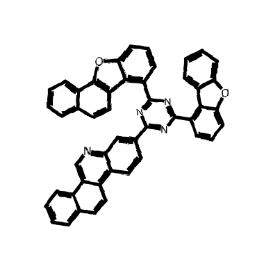 c1ccc2c(c1)ccc1c3ccc(-c4nc(-c5cccc6oc7ccccc7c56)nc(-c5cccc6oc7c8ccccc8ccc7c56)n4)cc3ncc21